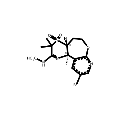 CC1(C)C(NC(=O)O)=N[C@]2(C)c3cc(Br)cnc3OCC[C@H]2S1(=O)=O